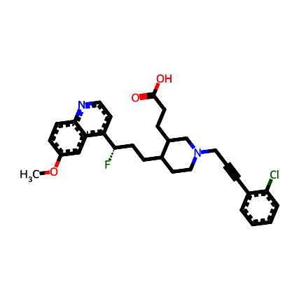 COc1ccc2nccc([C@@H](F)CCC3CCN(CC#Cc4ccccc4Cl)CC3CCC(=O)O)c2c1